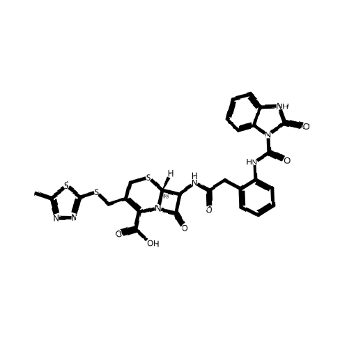 Cc1nnc(SCC2=C(C(=O)O)N3C(=O)C(NC(=O)Cc4ccccc4NC(=O)n4c(=O)[nH]c5ccccc54)[C@H]3SC2)s1